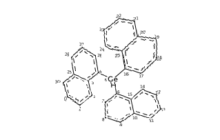 c1ccc2[c]([GeH]([c]3cccc4ccccc34)[c]3cccc4ccccc34)cccc2c1